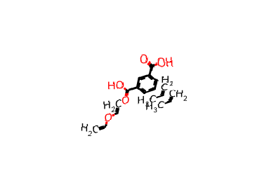 C=CC.C=CC.C=COC=C.O=C(O)c1cccc(C(=O)O)c1